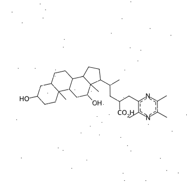 Cc1nc(C)c(CC(CC(C)C2CCC3C4CCC5CC(O)CCC5(C)C4CC(O)C23C)C(=O)O)nc1C